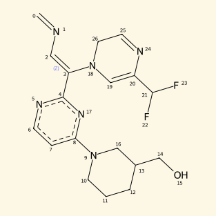 C=N/C=C(/c1nccc(N2CCCC(CO)C2)n1)N1C=C(C(F)F)N=CC1